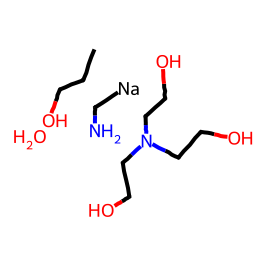 CCCO.N[CH2][Na].O.OCCN(CCO)CCO